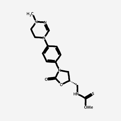 COC(=S)NC[C@H]1CN(c2ccc(N3C=NN(C)CC3)cc2)C(=O)O1